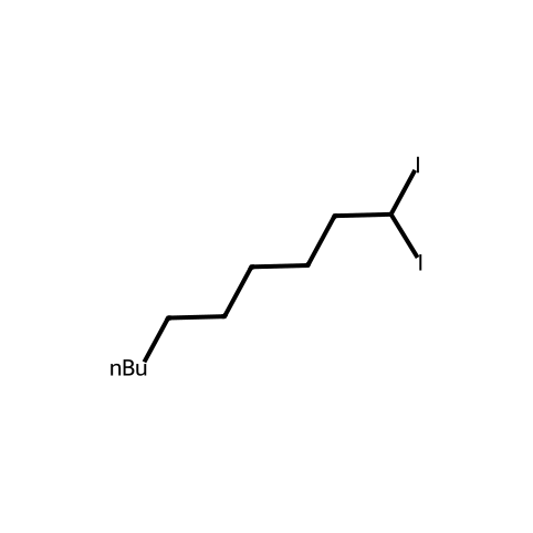 CCCCCCCCCC(I)I